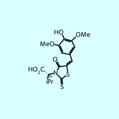 COc1cc(C=C2SC(=S)N([C@@H](C(=O)O)C(C)C)C2=O)cc(OC)c1O